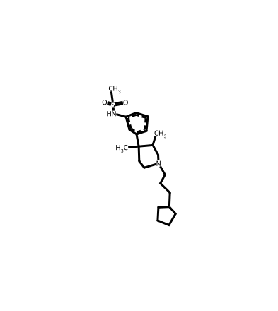 CC1CN(CCCC2CCCC2)CCC1(C)c1cccc(NS(C)(=O)=O)c1